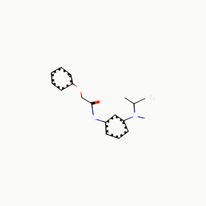 CCN(c1cccc(NC(=O)COc2ccccc2)c1)C(C)C#N